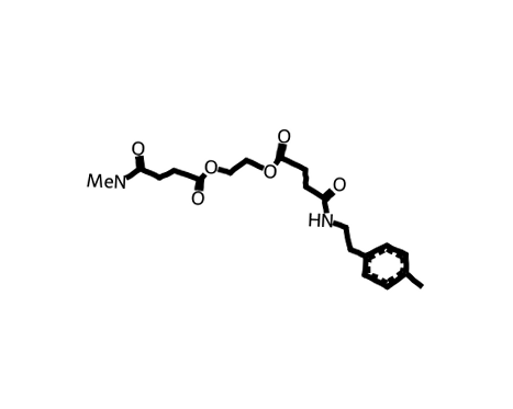 CNC(=O)CCC(=O)OCCOC(=O)CCC(=O)NCCc1ccc(C)cc1